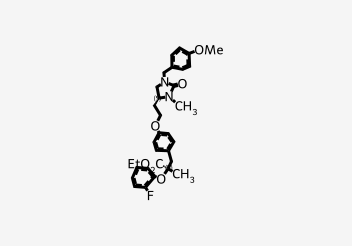 CCOC(=O)[C@@](C)(Cc1ccc(OCC[C@H]2CN(Cc3ccc(OC)cc3)C(=O)N2C)cc1)Oc1ccccc1F